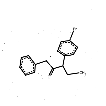 CCC(C(=O)Cc1ccccc1)c1ccc(Br)cc1